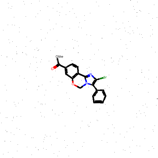 COC(=O)c1ccc2c(c1)OCn1c-2nc(Br)c1-c1ccccc1